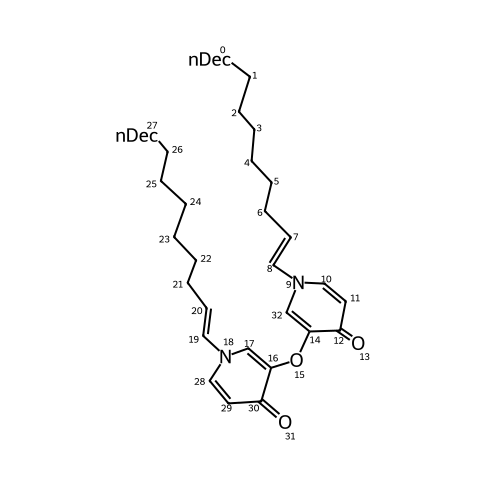 CCCCCCCCCCCCCCCCC=Cn1ccc(=O)c(Oc2cn(C=CCCCCCCCCCCCCCCCC)ccc2=O)c1